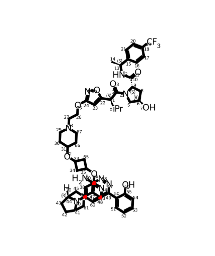 CC(C)[C@H](C(=O)N1C[C@H](O)C[C@H]1C(=O)N[C@@H](C)c1ccc(C(F)(F)F)cc1)c1cc(OCCN2CCC(OC3CC(Oc4cc(N5C6CC[C@@H]5CN(c5cc(-c7ccccc7O)nnc5N)C6)ccn4)C3)CC2)no1